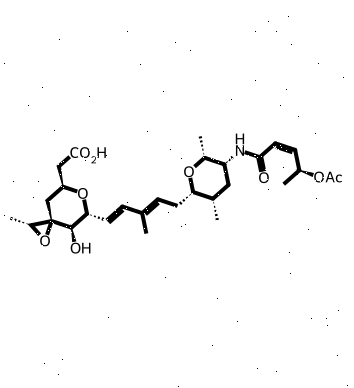 CC(=O)O[C@@H](C)/C=C\C(=O)N[C@@H]1C[C@H](C)[C@H](C/C=C(C)/C=C/[C@H]2O[C@H](CC(=O)O)C[C@]3(O[C@@H]3C)[C@@H]2O)O[C@@H]1C